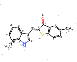 Cc1ccc2c(c1)C(=O)C(=Cc1c[nH]c3c(C)cccc13)S2